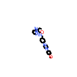 CCc1nc2ccccn2c1C(=O)NCC1=CC=C(N2CCN(c3ccc(OC)cc3)CC2)C=CC1